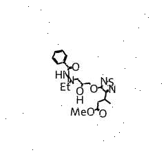 CCN(CC(O)COc1nsnc1C(C)CC(=O)OC)NC(=O)c1ccccc1